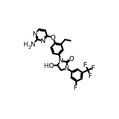 CCc1cc(N2C(=O)N(c3cc(F)cc(C(F)(F)F)c3)CC2O)ccc1Oc1ccnc(N)n1